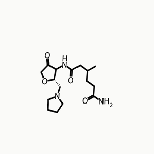 CC(CCC(N)=O)CC(=O)NC1C(=O)CO[C@H]1CN1CCCC1